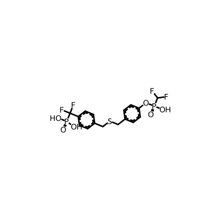 O=P(O)(Oc1ccc(CSCc2ccc(C(F)(F)P(=O)(O)O)cc2)cc1)C(F)F